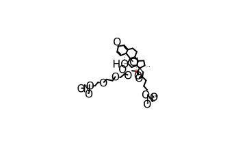 C[C@H]1CC2C3CCC4=CC(=O)C=C[C@]4(C)[C@@]3(Cl)[C@@H](O)C[C@]2(C)[C@@]1(CC(=O)CCCO[N+](=O)[O-])C(=O)COC(=O)COCCOCCO[N+](=O)[O-]